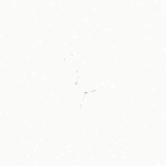 CCC(CC)COC(C)=O